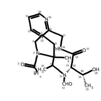 CC(C)C(=O)N1CCCC1(C)C(C)N(C=O)[C@H](C(=O)NCc1ncccn1)[C@@H](C)O